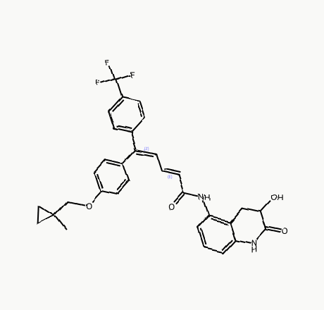 CC1(COc2ccc(/C(=C\C=C\C(=O)Nc3cccc4c3CC(O)C(=O)N4)c3ccc(C(F)(F)F)cc3)cc2)CC1